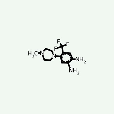 CN1CCN(c2cc(N)c(N)cc2C(F)(F)F)CC1